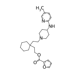 Cc1ccc(NC2CCN(CCC3(CCOC(=O)c4ccco4)CCCCC3)CC2)nc1